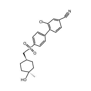 C[C@]1(O)CC[C@@H](CS(=O)(=O)c2ccc(-c3ccc(C#N)cc3Cl)cc2)CC1